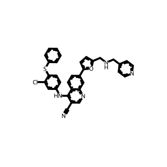 N#Cc1cnc2cc(-c3ccc(CNCc4ccncc4)o3)ccc2c1Nc1ccc(Sc2ccccc2)c(Cl)c1